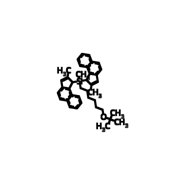 CC1=Cc2ccc3ccccc3c2C1[Si](C)(CCCCCCOC(C)(C)C)C1C(C)=Cc2ccc3ccccc3c21